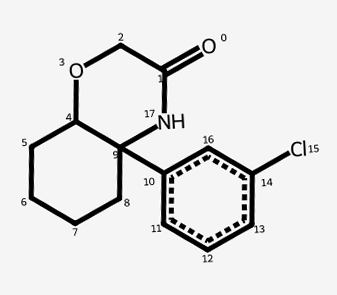 O=C1COC2CCCCC2(c2cccc(Cl)c2)N1